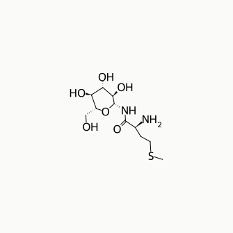 CSCC[C@H](N)C(=O)N[C@@H]1O[C@H](CO)[C@@H](O)[C@H](O)[C@H]1O